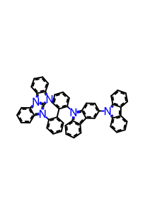 c1ccc(-n2c3ccccc3c3cc(-n4c5ccccc5c5ccccc54)ccc32)c(-c2ccccc2-n2c3ccccc3n3c4ccccc4nc23)c1